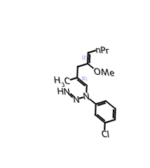 CCC/C=C(/C/C(C)=C/N(N=N)c1cccc(Cl)c1)OC